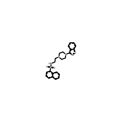 O=S(=O)(NCCN1CCN(c2nsc3ccccc23)CC1)c1cccc2ccccc12